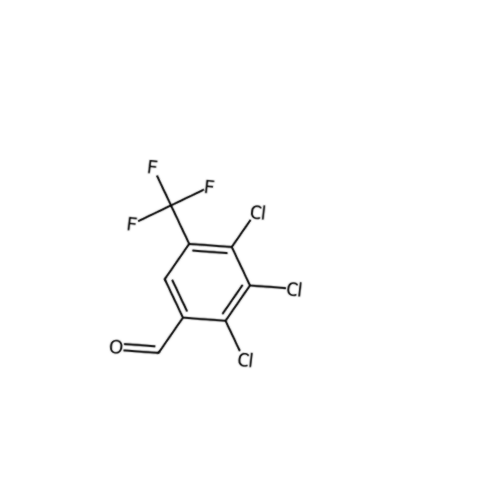 O=Cc1cc(C(F)(F)F)c(Cl)c(Cl)c1Cl